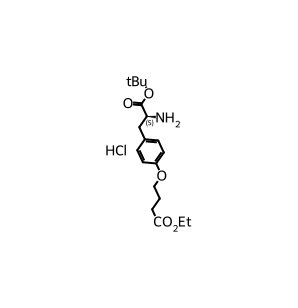 CCOC(=O)CCCOc1ccc(C[C@H](N)C(=O)OC(C)(C)C)cc1.Cl